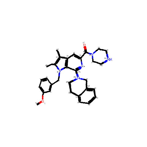 COc1cccc(Cn2c(C)c(C)c3cc(C(=O)N4CCNCC4)nc(N4CCc5ccccc5C4)c32)c1